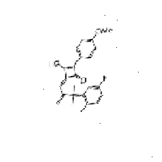 C=C(/C=C1\C(=O)C(c2ccc(OC)cc2)=C1O)C(C)(C)c1cc(F)ccc1C